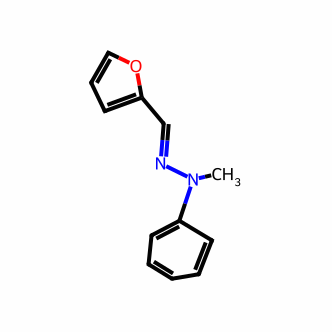 CN(N=Cc1ccco1)c1ccccc1